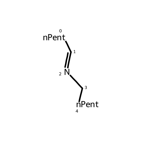 CCCCCC=NCCCCCC